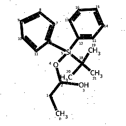 CCC(O)O[Si](c1ccccc1)(c1ccccc1)C(C)(C)C